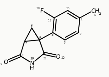 Cc1ccc(C23CC2C(=O)NC3=O)c(F)c1